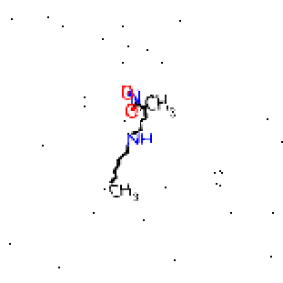 CCCCCCCCNCCCC[C@H](C)C(=O)N=O